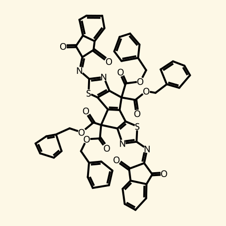 O=C(OCc1ccccc1)C1(C(=O)OCc2ccccc2)C2=C(c3sc(N=c4c(=O)c5ccccc5c4=O)nc31)C(C(=O)OCc1ccccc1)(C(=O)OCc1ccccc1)c1nc(N=c3c(=O)c4ccccc4c3=O)sc12